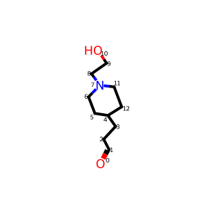 O=CCCC1CCN(CCO)CC1